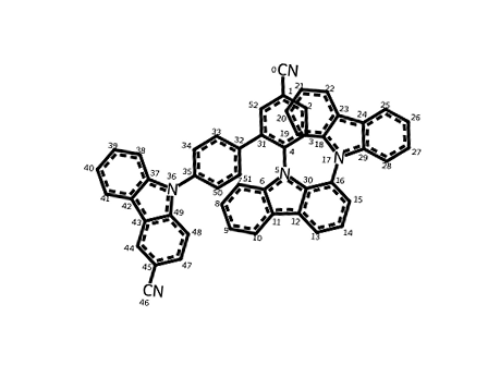 N#Cc1ccc(-n2c3ccccc3c3cccc(-n4c5ccccc5c5ccccc54)c32)c(-c2ccc(-n3c4ccccc4c4cc(C#N)ccc43)cc2)c1